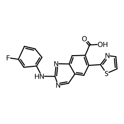 O=C(O)c1cc2nc(Nc3cccc(F)c3)ncc2cc1-c1nccs1